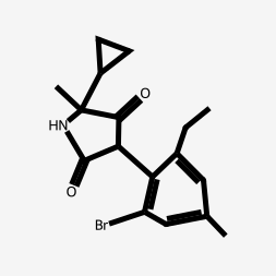 CCc1cc(C)cc(Br)c1C1C(=O)NC(C)(C2CC2)C1=O